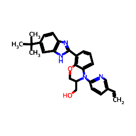 C=Cc1ccc(N2c3cccc(-c4nc5ccc(C(C)(C)C)cc5[nH]4)c3OCC2CO)nc1